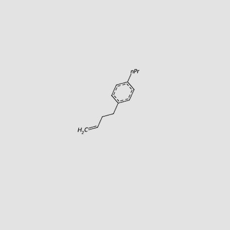 C=CCCc1ccc(CCC)cc1